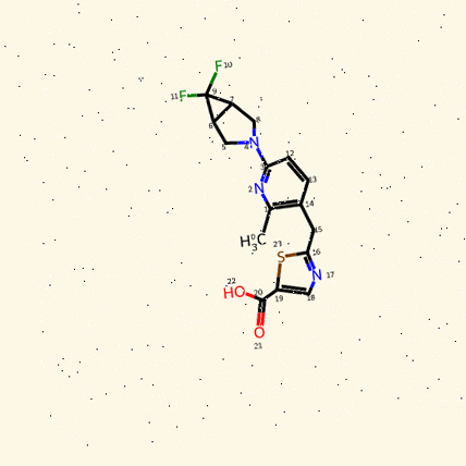 Cc1nc(N2CC3C(C2)C3(F)F)ccc1Cc1ncc(C(=O)O)s1